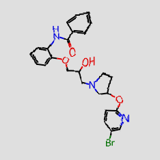 O=C(Nc1ccccc1OCC(O)CN1CCC(Oc2ccc(Br)cn2)C1)c1ccccc1